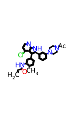 C=CC(=O)Nc1cc(-c2c(-c3cccc(N4CCN(C(C)=O)CC4)c3)[nH]c3nccc(Cl)c23)ccc1C